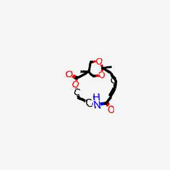 CC12COC(C)(OC1)C1CC(=CC(=O)NCCCOC2=O)C1